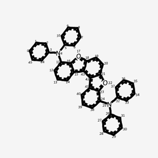 c1ccc(N(c2ccccc2)c2cccc3c2oc2ccc4oc5c(N(c6ccccc6)c6ccccc6)cccc5c4c23)cc1